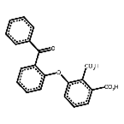 O=C(c1ccccc1)c1ccccc1Oc1cccc(C(=O)O)c1C(=O)O